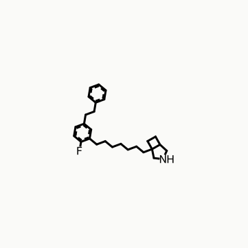 Fc1ccc(CCc2ccccc2)cc1CCCCCCCC12CCC1CNC2